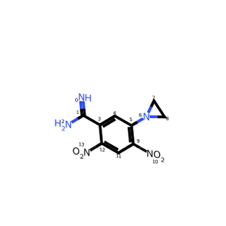 N=C(N)c1cc(N2CC2)c([N+](=O)[O-])cc1[N+](=O)[O-]